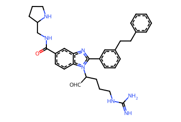 N=C(N)NCCCC(C=O)n1c(-c2cccc(CCc3ccccc3)c2)nc2cc(C(=O)NCC3CCCN3)ccc21